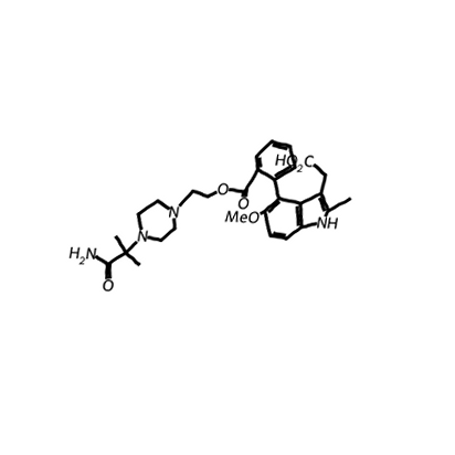 COc1ccc2[nH]c(C)c(CC(=O)O)c2c1-c1ccccc1C(=O)OCCN1CCN(C(C)(C)C(N)=O)CC1